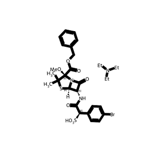 CCN(CC)CC.CO[C@@]1(C(=O)OCc2ccccc2)N2C(=O)[C@H](NC(=O)[C@@H](c3ccc(Br)cc3)S(=O)(=O)O)[C@H]2SC1(C)C